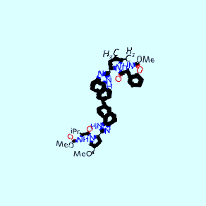 COC[C@H]1C[C@@H](c2nc3ccc4cc(-c5ccc6c(ccc7nc([C@@H]8C[C@@H](C)[C@@H](C)N8C(=O)[C@H](NC(=O)OC)c8ccccc8)[nH]c76)c5)ccc4c3[nH]2)N(C(=O)[C@@H](NC(=O)OC)C(C)C)C1